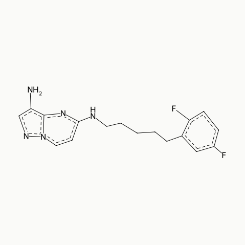 Nc1cnn2ccc(NCCCCCc3cc(F)ccc3F)nc12